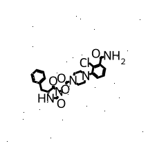 NC(=O)c1cccc(N2CCN(C(=O)ON3C(=O)NC(Cc4ccccc4)C3=O)CC2)c1Cl